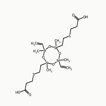 C=C[Si]1(C)O[Si](C)(CCSCCC(=O)O)O[Si](C)(C=C)O[Si](C)(CCSCCC(=O)O)O1